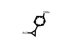 COc1ccc(C2CC2OC(C)=O)cc1